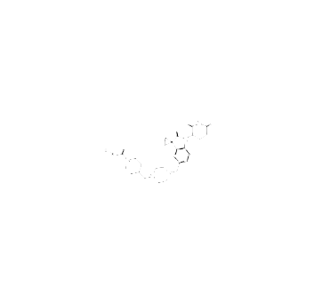 CC(C)(C)OC(=O)N1CCC(CN2CCN(Cc3ccc4c(c3)C3(CC3)C(=O)N4C3CCC(=O)NC3=O)CC2)CC1